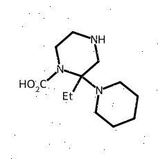 CCC1(N2CCCCC2)CNCCN1C(=O)O